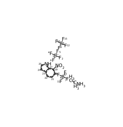 CC.F[B-](F)(F)F.F[B-](F)(F)F.F[B-](F)(F)F.N.O=[N+]([O-])c1cccc2cc[nH]c12